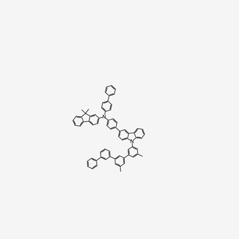 Cc1cc(-c2cccc(-c3ccccc3)c2)cc(-c2cc(C)cc(-n3c4ccccc4c4cc(-c5ccc(N(c6ccc(-c7ccccc7)cc6)c6ccc7c(c6)C(C)(C)c6ccccc6-7)cc5)ccc43)c2)c1